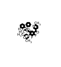 Cc1ccc(C(=O)c2cc(CO[Si](c3ccccc3)(c3ccccc3)C(C)(C)C)c(N3C[C@@H](C)O[C@@H](C)C3)c(F)c2F)cn1